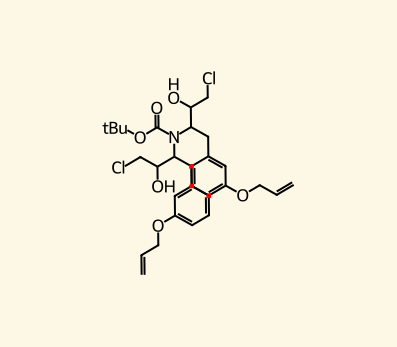 C=CCOc1cccc(CC(C(O)CCl)N(C(=O)OC(C)(C)C)C(Cc2cccc(OCC=C)c2)C(O)CCl)c1